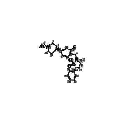 CC(=O)N1CCN(c2ccc(CN3[C@H](C)CC(c4ccccc4)S3(=O)=O)c(F)c2)CC1